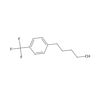 [CH]CCCCc1ccc(C(F)(F)F)cc1